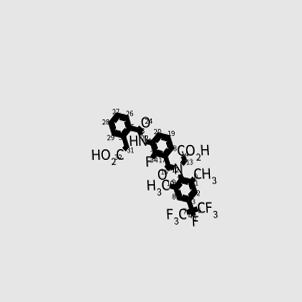 Cc1cc(C(F)(C(F)(F)F)C(F)(F)F)cc(C)c1N(CC(=O)O)C(=O)c1cccc(NC(=O)c2ccccc2CC(=O)O)c1F